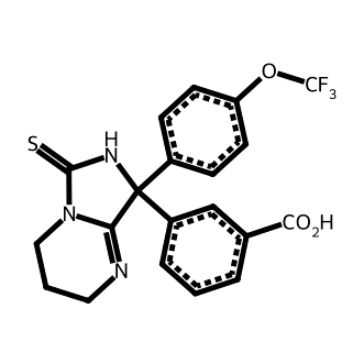 O=C(O)c1cccc(C2(c3ccc(OC(F)(F)F)cc3)NC(=S)N3CCCN=C32)c1